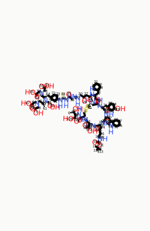 C[C@@H](O)[C@H](NC(=O)C1CSSCC(NC(=O)C(Cc2ccccc2)NC(=O)CC(=O)CNNCC(=O)NC(=S)Nc2ccc(C[C@H](CN(CC(=O)O)CC(=O)O)N(COO)[C@@H](C)CN(CC(=O)O)CC(=O)O)cc2)C(=O)N[C@@H](Cc2ccc(O)cc2)C(=O)N[C@@H](Cc2c[nH]c3ccccc23)C(=O)N[C@@H](CCCCNC(=O)OC(C)(C)C)C(=O)N[C@@H]([C@@H](C)O)C(=O)N1)C(=O)O